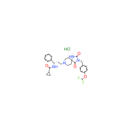 Cl.O=C(N[C@@H](CCN1CCC2(CC1)NC(=O)N(Cc1ccc(OC(F)F)cc1)C2=O)c1ccccc1)C1CC1